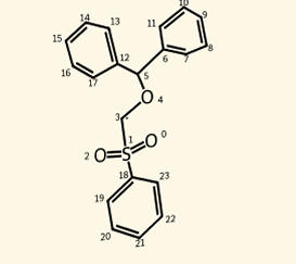 O=S(=O)([CH]OC(c1ccccc1)c1ccccc1)c1ccccc1